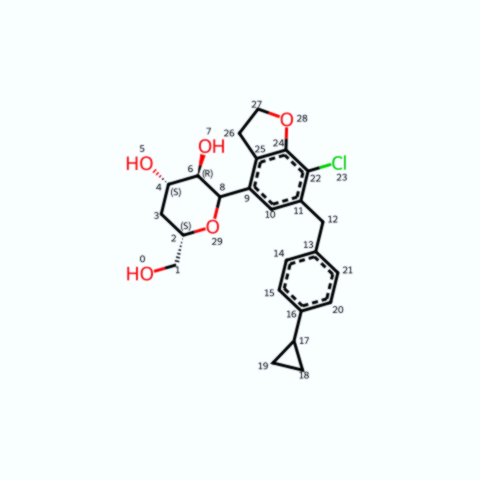 OC[C@@H]1C[C@H](O)[C@@H](O)C(c2cc(Cc3ccc(C4CC4)cc3)c(Cl)c3c2CCO3)O1